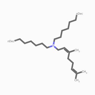 CCCCCCCCCCCCCCCCN(CC=C(C)CCC=C(C)C)CCCCCCCCCCCCCCCC